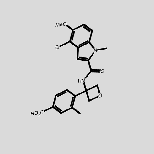 COc1ccc2c(cc(C(=O)NC3(c4ccc(C(=O)O)cc4C)COC3)n2C)c1Cl